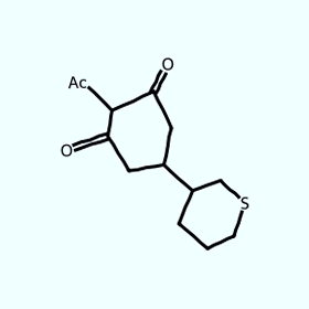 CC(=O)C1C(=O)CC(C2CCCSC2)CC1=O